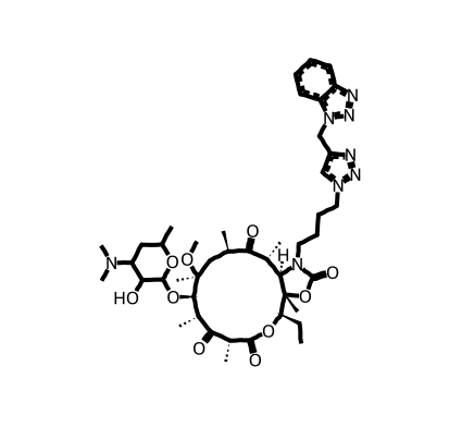 CC[C@H]1OC(=O)[C@H](C)C(=O)[C@H](C)[C@@H](OC2OC(C)CC(N(C)C)C2O)[C@@](C)(OC)C[C@@H](C)C(=O)[C@H](C)[C@H]2N(CCCCn3cc(Cn4nnc5ccccc54)nn3)C(=O)O[C@]12C